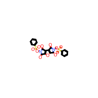 O=c1c2oc3c(=O)n(OS(=O)(=O)c4ccccc4)c(=O)c3c2c(=O)n1OS(=O)(=O)c1ccccc1